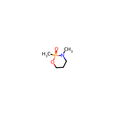 CN1CCCOP1(C)=O